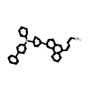 C/C=C\C=C/c1cc2ccc(-c3ccc(N(c4ccccc4)c4ccc(-c5ccccc5)cc4)cc3)cc2c2ccccc12